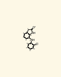 O=C1Cc2cccc(Nc3ccccc3Cl)c2N1